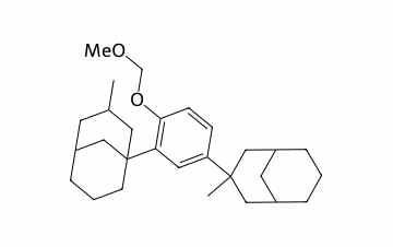 COCOc1ccc(C2(C)CC3CCCC(C3)C2)cc1C12CCCC(CC(C)C1)C2